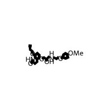 C#CCCOc1ccc(OCC(O)CNCCCOc2ccc(OC)cc2)c2c1NC(=O)CC2